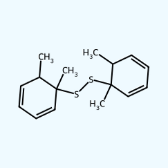 CC1C=CC=CC1(C)SSC1(C)C=CC=CC1C